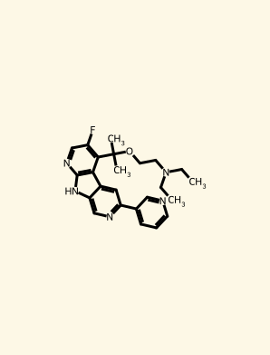 CCN(CC)CCOC(C)(C)c1c(F)cnc2[nH]c3cnc(-c4cccnc4)cc3c12